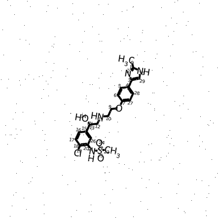 Cc1nc(-c2ccc(OCCNC[C@H](O)c3ccc(Cl)c(NS(C)(=O)=O)c3)cc2)c[nH]1